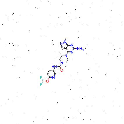 Cc1nc(OC(F)F)ccc1NC(=O)N1CCN(c2nc(N)nc3c2cnn3C)[C@@H](C)C1